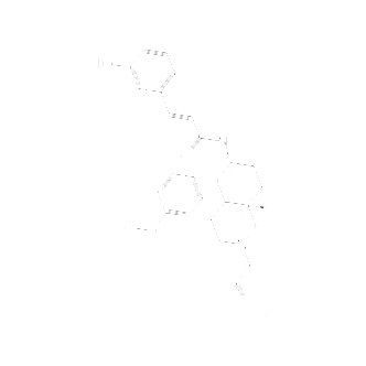 C=CCN1CC[C@@]2(c3cccc(OC)c3)C[C@@H](N(C)C(=O)C=Cc3cccc(O)c3)CC[C@@H]2C1